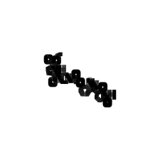 CCOC(=O)c1ccc(C(=O)N2CCN(C(=O)COc3cccc4c(C5CCC(=O)NC5=O)nn(C)c34)CC2)[nH]1